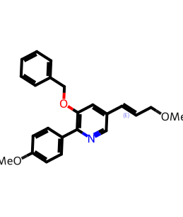 COC/C=C/c1cnc(-c2ccc(OC)cc2)c(OCc2ccccc2)c1